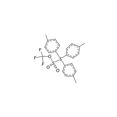 Cc1ccc(S(c2ccc(C)cc2)(c2ccc(C)cc2)S(=O)(=O)OC(F)(F)F)cc1